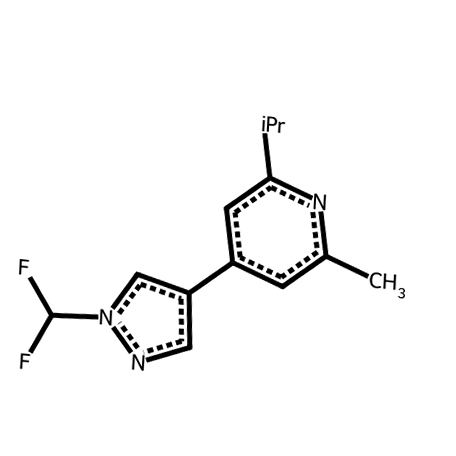 Cc1cc(-c2cnn(C(F)F)c2)cc(C(C)C)n1